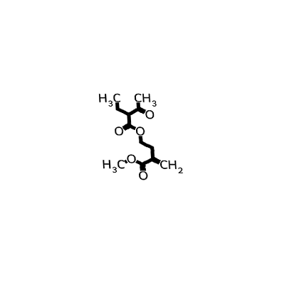 C=C(CCOC(=O)C(CC)C(C)=O)C(=O)OC